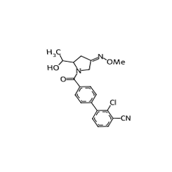 CO/N=C1/CC(C(C)O)N(C(=O)c2ccc(-c3cccc(C#N)c3Cl)cc2)C1